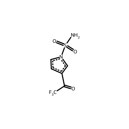 NS(=O)(=O)n1ccc(C(=O)C(F)(F)F)c1